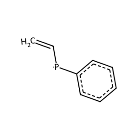 C=C[P]c1ccccc1